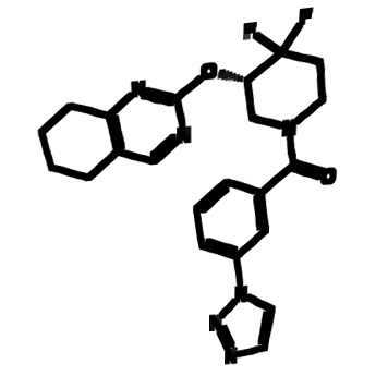 O=C(c1cccc(-n2ccnn2)c1)N1CCC(F)(F)[C@@H](Oc2ncc3c(n2)CCCC3)C1